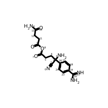 N#CC(N)(CCC(=O)OC(=O)CCC(N)=O)c1ccc(C(=N)N)cc1